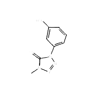 CCCc1cccc(-n2nnn(C)c2=O)c1